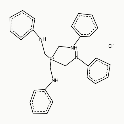 [Cl-].c1ccc(NC[P+](CNc2ccccc2)(CNc2ccccc2)CNc2ccccc2)cc1